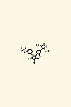 Cc1noc(C)c1-c1ccc2c(c1)ncc1[nH]c(=O)n(-c3cccc(OC(F)(F)F)c3)c12